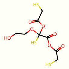 O=C(CS)OC(=O)C(S)(OCCO)OC(=O)CS